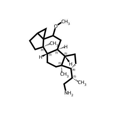 COC1C[C@H]2[C@@H]3CC[C@H]([C@H](C)CN)[C@@]3(C)CC[C@@H]2[C@@]2(C)CCC3CC312